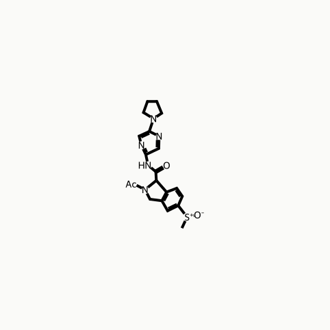 CC(=O)N1Cc2cc([S+](C)[O-])ccc2C1C(=O)Nc1cnc(N2CCCC2)cn1